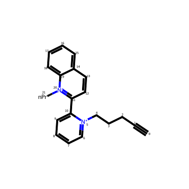 C#CCCC[n+]1ccccc1-c1ccc2ccccc2[n+]1CCC